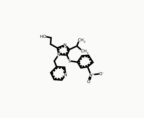 CC(C)c1nc(CCO)n(Cc2cccnc2)c1Sc1cccc([N+](=O)[O-])c1